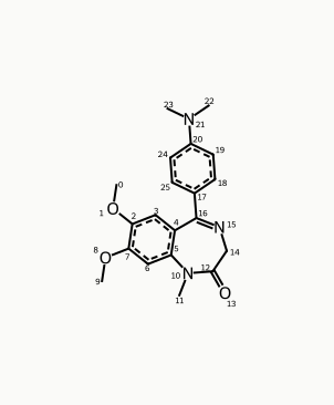 COc1cc2c(cc1OC)N(C)C(=O)CN=C2c1ccc(N(C)C)cc1